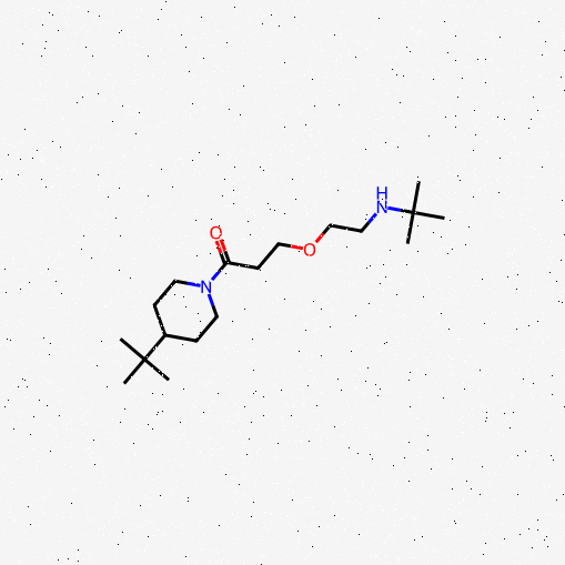 CC(C)(C)NCCOCCC(=O)N1CCC(C(C)(C)C)CC1